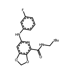 CC(C)(C)CNC(=O)c1nc(Nc2cccc(F)c2)cc2c1OCO2